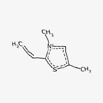 C=Cc1sc(C)c[n+]1C